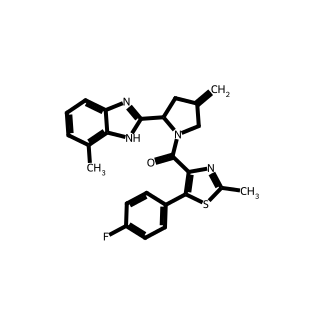 C=C1CC(c2nc3cccc(C)c3[nH]2)N(C(=O)c2nc(C)sc2-c2ccc(F)cc2)C1